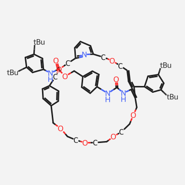 CC(C)(C)c1cc(NC(=O)OCc2ccc(NC(=O)Nc3cc4cc(-c5cc(C(C)(C)C)cc(C(C)(C)C)c5)c3COCCOCCOCCOCc3ccc(cc3)COCc3cccc(n3)COC4)cc2)cc(C(C)(C)C)c1